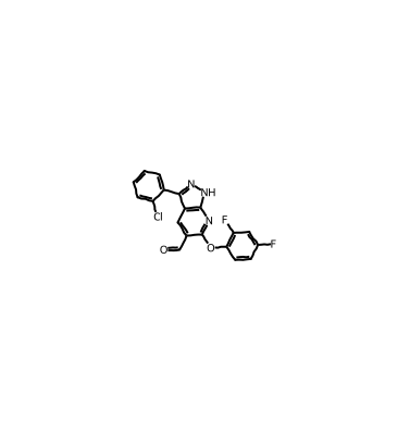 O=Cc1cc2c(-c3ccccc3Cl)n[nH]c2nc1Oc1ccc(F)cc1F